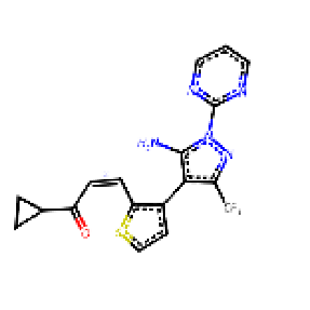 Nc1c(-c2ccsc2/C=C\C(=O)C2CC2)c(C(F)(F)F)nn1-c1ncccn1